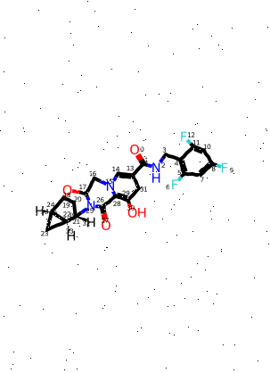 O=C(NCc1c(F)cc(F)cc1F)C1=CN2CC3OC4C[C@@H]([C@H]5C[C@@H]45)N3C(=O)C2=C(O)C1